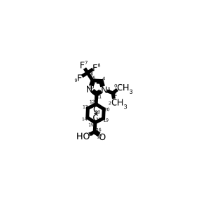 CC(C)n1cc(C(F)(F)F)nc1C12CCC(C(=O)O)(CC1)CC2